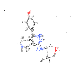 CC1(C)COCC1Nc1nnc(-c2ccc(O)cc2)c2ccncc12